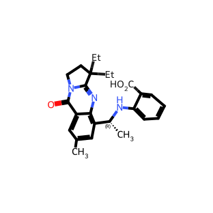 CCC1(CC)CCn2c1nc1c([C@@H](C)Nc3ccccc3C(=O)O)cc(C)cc1c2=O